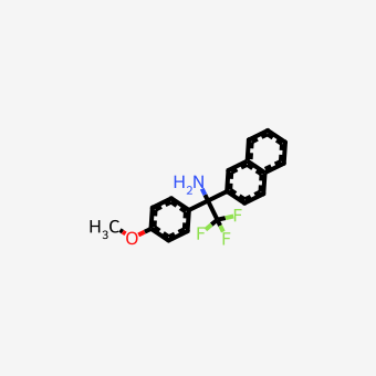 COc1ccc(C(N)(c2ccc3ccccc3c2)C(F)(F)F)cc1